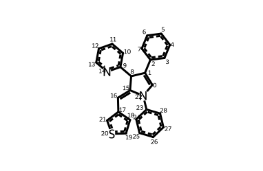 C1=C(c2ccccc2)C(c2ccccn2)C(=Cc2ccsc2)N1c1ccccc1